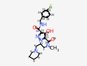 CN1CC(CN2CCCCC2)n2nc(C(=O)NCc3ccc(F)cc3)c(O)c2C1=O